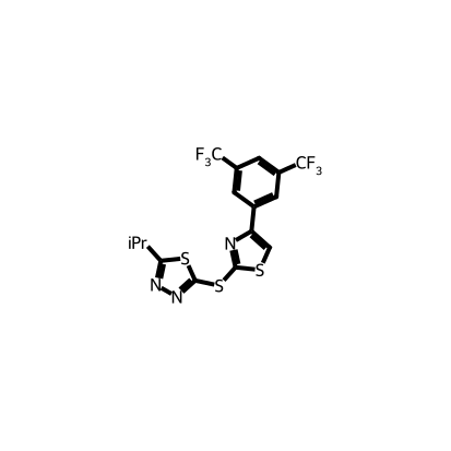 CC(C)c1nnc(Sc2nc(-c3cc(C(F)(F)F)cc(C(F)(F)F)c3)cs2)s1